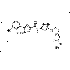 CC(C)NC(=O)O[C@@H]1CC[C@H](c2cc(NC(=O)c3cnc(-c4cccc(O)c4C=O)o3)n[nH]2)C1